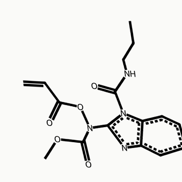 C=CC(=O)ON(C(=O)OC)c1nc2ccccc2n1C(=O)NCCC